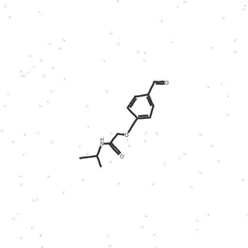 CC(C)NC(=O)COc1ccc([C]=O)cc1